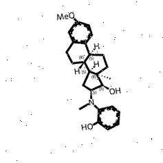 COc1ccc2c(c1)CC[C@@H]1[C@@H]2CC[C@@]2(C)[C@@H](O)[C@@H](N(C)c3ccccc3O)C[C@@H]12